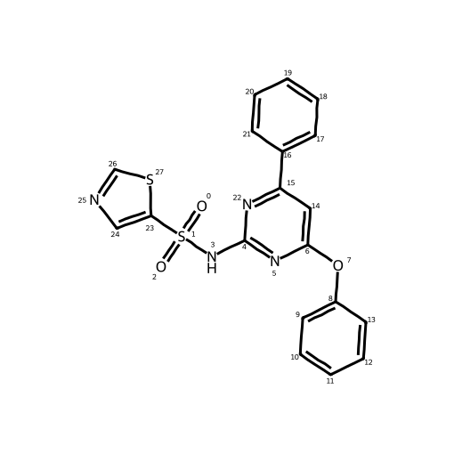 O=S(=O)(Nc1nc(Oc2ccccc2)cc(-c2ccccc2)n1)c1cncs1